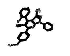 CCc1ccc(-c2nc3c(c(C)nn3-c3ccccc3)c(-c3ccccc3Br)c2C#N)cc1